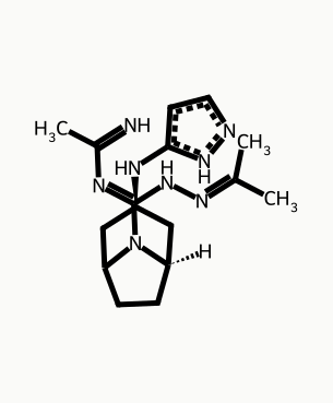 CC(=N)/N=C(\NN=C(C)C)N1C2CC[C@@H]1C[C@H](Nc1ccn[nH]1)C2